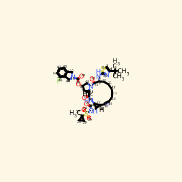 CC(C)(C)c1csc(N[C@H]2CCCCC/C=C\[C@@H]3C[C@@]3(C(=O)NS(=O)(=O)C3(C)CC3)NC(=O)[C@@H]3C[C@@H](OC(=O)N4Cc5cccc(F)c5C4)CN3C2=O)n1